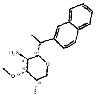 CO[C@@H]1[C@@H](N)[C@H](C(C)c2ccc3ccccc3c2)OC[C@@H]1C